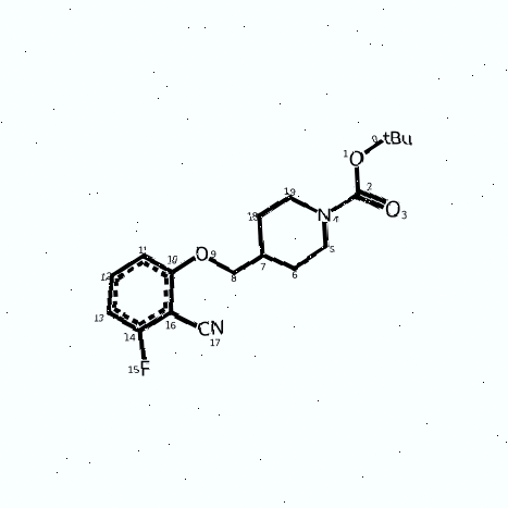 CC(C)(C)OC(=O)N1CCC(COc2cccc(F)c2C#N)CC1